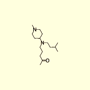 CC(=O)CCCN(CCC(C)C)C1CCN(C)CC1